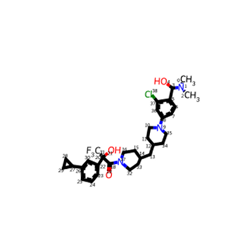 CN(C)C(O)c1ccc(N2CCC(CC3CCN(C(=O)C(O)(c4cccc(C5CC5)c4)C(F)(F)F)CC3)CC2)cc1Cl